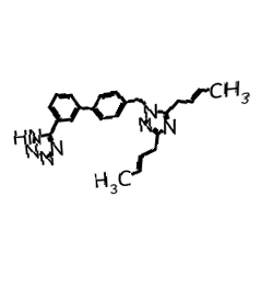 CC=CCc1nc(CC=CC)n(Cc2ccc(-c3cccc(-c4nnn[nH]4)c3)cc2)n1